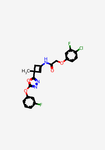 CC1(c2nnc(Oc3cccc(F)c3)o2)C=C(NC(=O)COc2ccc(Cl)c(F)c2)C1